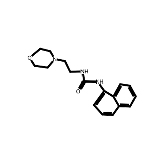 O=C(NCCN1CCOCC1)Nc1cccc2ccccc12